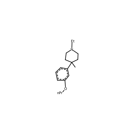 CCCOc1cccc(C2(C)CCN(CC)CC2)c1